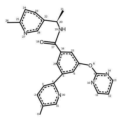 Cc1ccc(-c2cc(Oc3ncccn3)cc(C(=O)N[C@H](C)c3ccc(C)nc3)c2)nc1